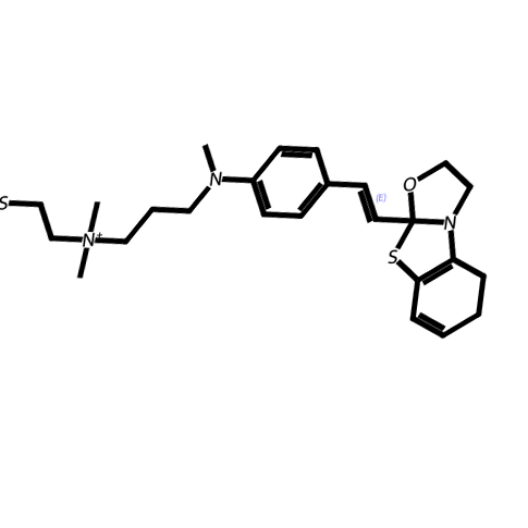 CN(CCC[N+](C)(C)CCS)c1ccc(/C=C/C23OCCN2C2=C(C=CCC2)S3)cc1